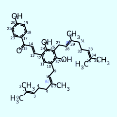 CC(C)=CCC/C(C)=C/Cc1cc(C=CC(=O)c2ccc(O)cc2)c(O)c(C/C=C(\C)CCC=C(C)C)c1O